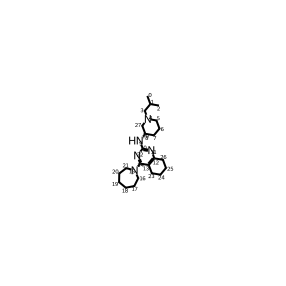 CC(C)CN1CCC[C@@H](Nc2nc3c(c(N4CCCCCC4)n2)CCCC3)C1